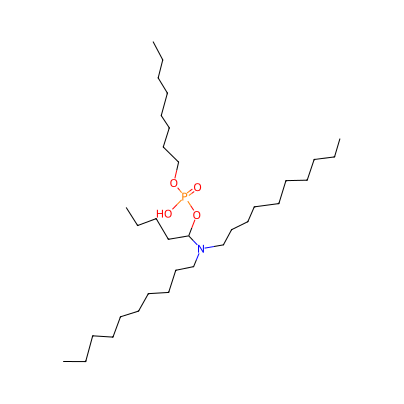 CCCCCCCCCCN(CCCCCCCCCC)C(CCCC)OP(=O)(O)OCCCCCCCC